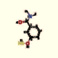 CN(C)C(=O)c1cccc(OS)c1